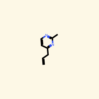 C=CCc1ccnc(C)n1